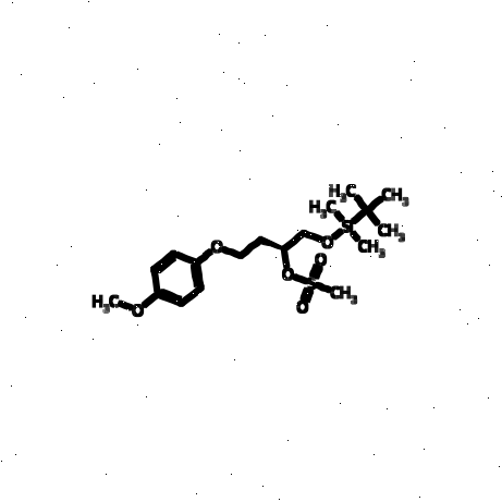 COc1ccc(OCC[C@@H](CO[Si](C)(C)C(C)(C)C)OS(C)(=O)=O)cc1